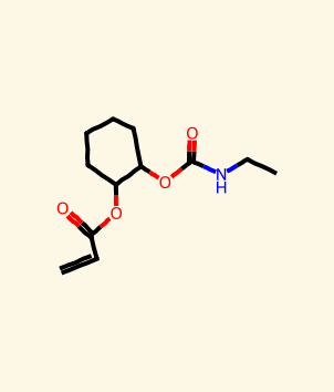 C=CC(=O)OC1CCCCC1OC(=O)NCC